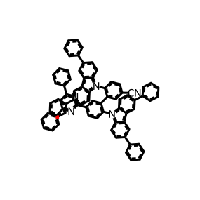 N#Cc1ccc(-n2c3ccc(-c4ccccc4)cc3c3cc(-c4ccccc4)ccc32)c(-c2cc(-c3nc(-c4ccccc4)cc(-c4ccccc4)n3)ccc2-n2c3ccc(-c4ccccc4)cc3c3cc(-c4ccccc4)ccc32)c1